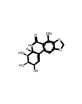 O=C1N[C@@H]2C(=CC(O)[C@@H](O)[C@H]2O)c2cc3c(c(O)c21)OCO3